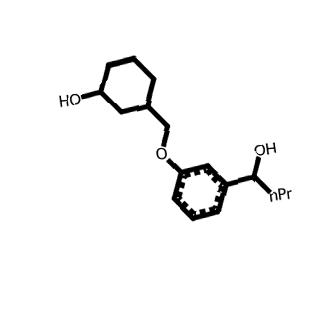 CCCC(O)c1cccc(OCC2CCCC(O)C2)c1